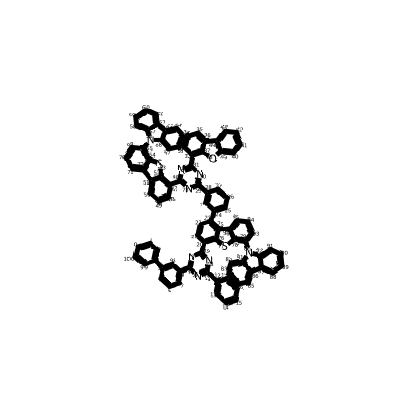 c1ccc(-c2cccc(-c3nc(-c4ccccc4)nc(-c4ccc(-c5cccc(-c6nc(-c7cccc8c7oc7ccccc78)nc(-c7cccc8c7sc7c(-n9c%10ccccc%10c%10ccccc%109)cccc78)n6)c5)c5c4sc4c(-n6c7ccccc7c7ccccc76)cccc45)n3)c2)cc1